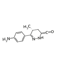 C[C@@H]1CC(=C=O)NN=C1c1ccc(N)cc1